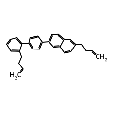 C=CCCc1ccc2cc(-c3ccc(-c4ccccc4CCC=C)cc3)ccc2c1